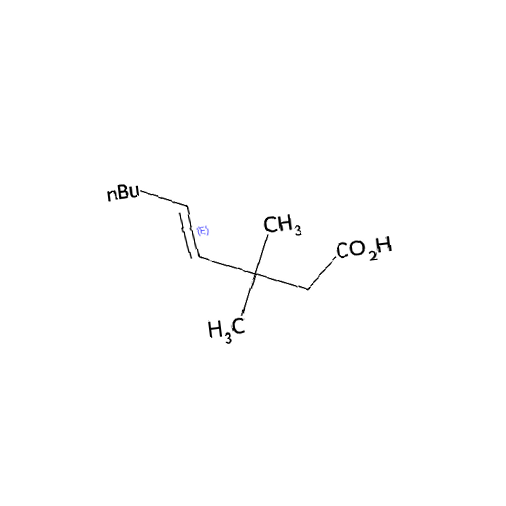 CCCC/C=C/C(C)(C)CC(=O)O